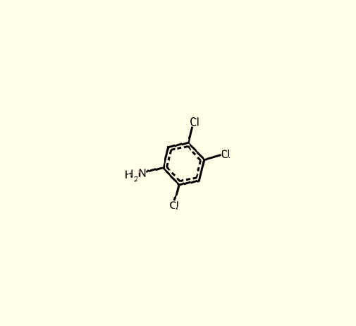 Nc1cc(Cl)c(Cl)cc1Cl